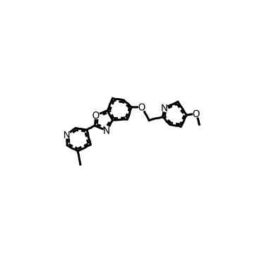 COc1ccc(COc2ccc3oc(-c4cncc(C)c4)nc3c2)nc1